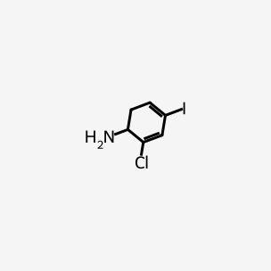 NC1CC=C(I)C=C1Cl